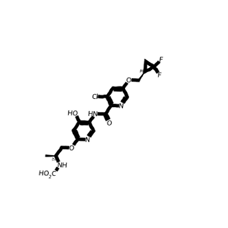 C[C@@H](COc1cc(O)c(NC(=O)c2ncc(OC[C@H]3CC3(F)F)cc2Cl)cn1)NC(=O)O